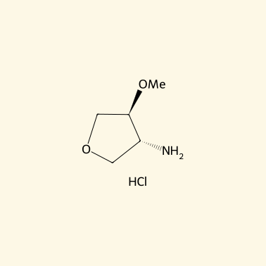 CO[C@@H]1COC[C@H]1N.Cl